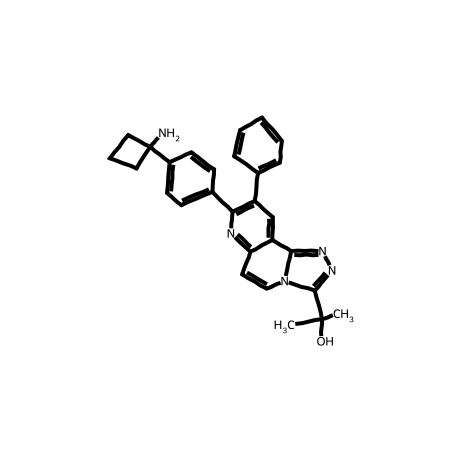 CC(C)(O)c1nnc2c3cc(-c4ccccc4)c(-c4ccc(C5(N)CCC5)cc4)nc3ccn12